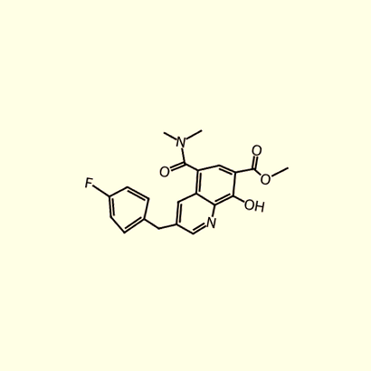 COC(=O)c1cc(C(=O)N(C)C)c2cc(Cc3ccc(F)cc3)cnc2c1O